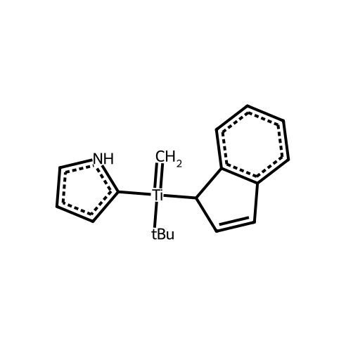 [CH2]=[Ti]([c]1ccc[nH]1)([CH]1C=Cc2ccccc21)[C](C)(C)C